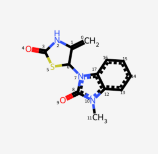 C=C1NC(=O)SC1n1c(=O)n(C)c2ccccc21